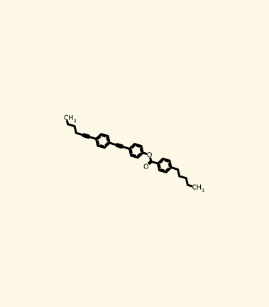 CCCCC#Cc1ccc(C#Cc2ccc(OC(=O)c3ccc(CCCCC)cc3)cc2)cc1